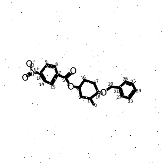 CC1CC(OC(=O)c2ccc([N+](=O)[O-])cc2)CCC1OCc1ccccc1